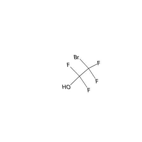 OC(F)(F)C(F)(F)Br